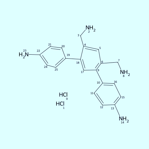 Cl.Cl.NCc1cc(CN)c(-c2ccc(N)cc2)cc1-c1ccc(N)cc1